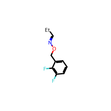 CCC=NOCc1cccc(F)c1F